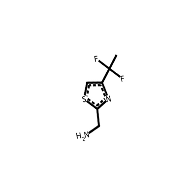 CC(F)(F)c1csc(CN)n1